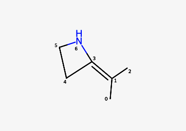 CC(C)=C1CCN1